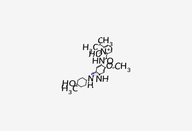 CCOC1=CC(=N)/C(=C\N[C@H]2CC[C@](C)(O)CC2)C=C1NC(=O)c1cccc(C(C)C)[n+]1O